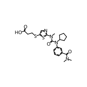 CN(C)C(=O)c1cccc(N(C(=O)N(C)c2ncc(SCCC(=O)O)s2)C2CCCC2)c1